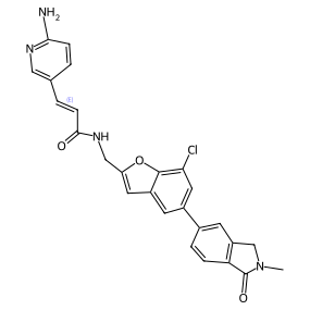 CN1Cc2cc(-c3cc(Cl)c4oc(CNC(=O)/C=C/c5ccc(N)nc5)cc4c3)ccc2C1=O